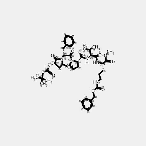 COC(=O)[C@H](CCCNC(=O)OCc1ccccc1)NC(=O)[C@@H](NC(=O)[C@@H]1CCCN1C(=O)[C@@H](Cc1ccccc1)N1C(=O)[C@@H](NC(=O)OC(C)(C)C)CC1C)C(C)C